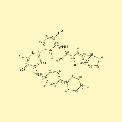 Cc1c(-c2cn(C)c(=O)c(Nc3ccc(N4CCN(C)CC4)cc3)n2)ccc(F)c1NC(=O)c1cc2c(s1)C1CCC2C1